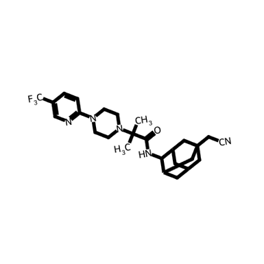 CC(C)(C(=O)NC1C2CC3CC1CC(CC#N)(C3)C2)N1CCN(c2ccc(C(F)(F)F)cn2)CC1